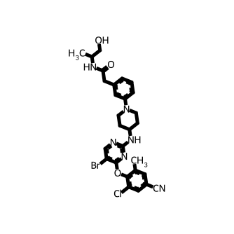 Cc1cc(C#N)cc(Cl)c1Oc1nc(NC2CCN(c3cccc(CC(=O)NC(C)CO)c3)CC2)ncc1Br